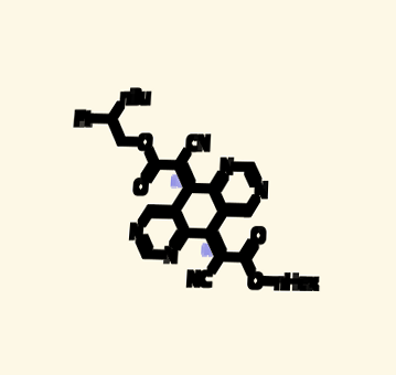 CCCCCCOC(=O)/C(C#N)=c1\c2cncnc2/c(=C(\C#N)C(=O)OCC(CC)CCCC)c2cncnc12